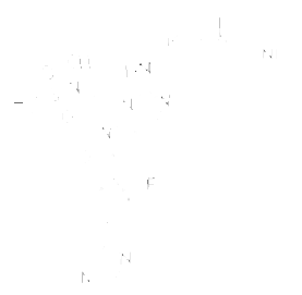 CN(CCn1c(=O)c(-c2ccc(-c3cnccn3)cc2F)cc2cnc(Nc3ccc(NC4CCCNC4)cc3)nc21)S(C)(=O)=O